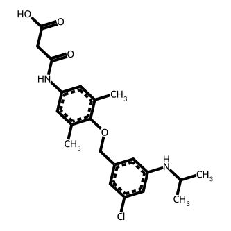 Cc1cc(NC(=O)CC(=O)O)cc(C)c1OCc1cc(Cl)cc(NC(C)C)c1